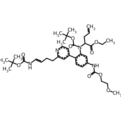 C=CCC(C(=O)OCC)N(C(=O)OC(C)(C)C)c1cc(NC(=O)OCCOC)ccc1-c1ccnc(CCC=CNC(=O)OC(C)(C)C)c1